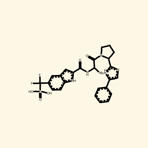 CC(C)(C)C(NC(=O)c1cc2cc(C(F)(F)P(=O)(O)O)ccc2[nH]1)C(=O)N1CCCC1c1ncc(-c2ccccc2)[nH]1